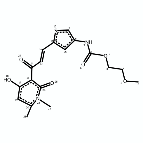 COCCOC(=O)Nc1csc(/C=C/C(=O)c2c(O)cc(C)n(C)c2=O)c1